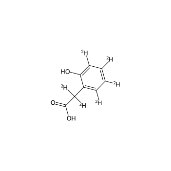 [2H]c1c([2H])c([2H])c(C([2H])([2H])C(=O)O)c(O)c1[2H]